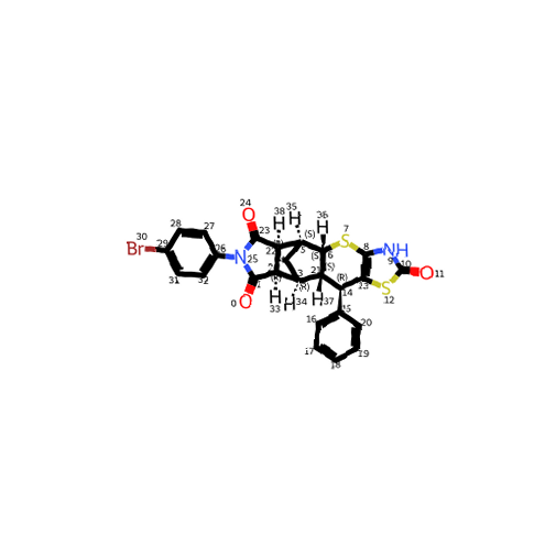 O=C1[C@@H]2[C@H]3C[C@H]([C@@H]4Sc5[nH]c(=O)sc5[C@@H](c5ccccc5)[C@H]34)[C@@H]2C(=O)N1c1ccc(Br)cc1